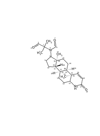 CC(C)(C=O)N(C=O)C1CC[C@H]2[C@@H]3CCC4NC(=O)C=C[C@]4(C)[C@@H]3CC[C@]12C